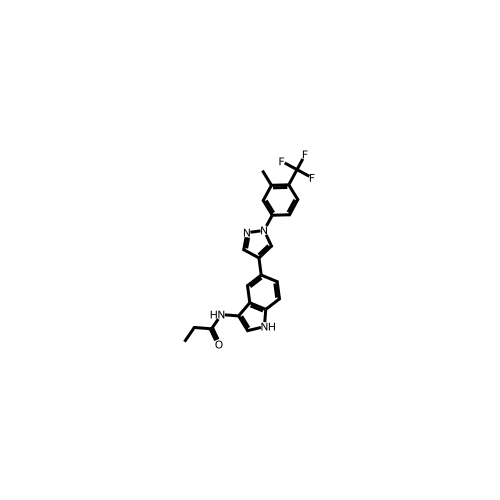 CCC(=O)Nc1c[nH]c2ccc(-c3cnn(-c4ccc(C(F)(F)F)c(C)c4)c3)cc12